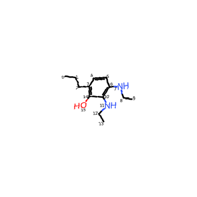 CCCc1ccc(NCC)c(NCC)c1O